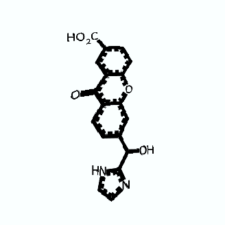 O=C(O)c1ccc2oc3cc(C(O)c4ncc[nH]4)ccc3c(=O)c2c1